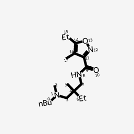 CCCCN(C)CC(C)(CC)CNC(=O)c1noc(CC)c1C